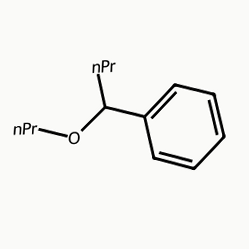 [CH2]CCC(OCCC)c1ccccc1